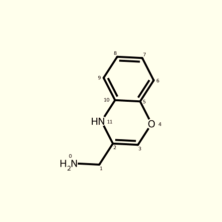 NCC1=COc2ccccc2N1